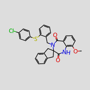 COc1cccc2c1NC(=O)C1(Cc3ccccc3C1)N(Cc1ccccc1Sc1ccc(Cl)cc1)C2=O